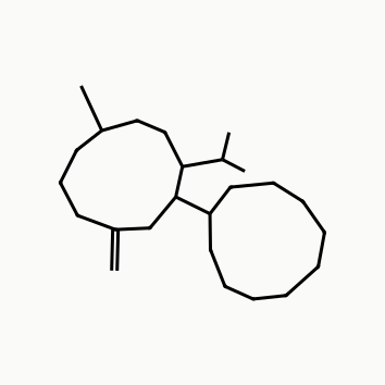 C=C1CCCC(C)CCC(C(C)C)C(C2CCCCCCCCC2)C1